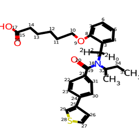 [2H]C([2H])(c1ccccc1OCCCCCC(=O)O)N(C(=O)c1ccc(-c2ccsc2)cc1)C(C)CC